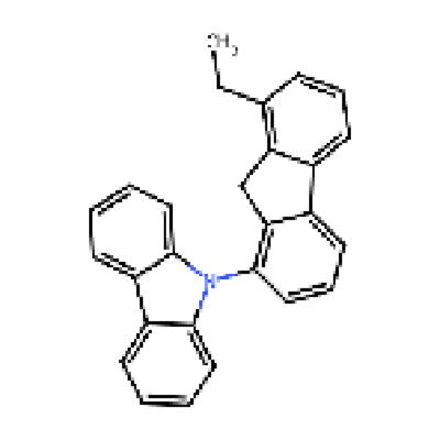 CCc1cccc2c1Cc1c-2cccc1-n1c2ccccc2c2ccccc21